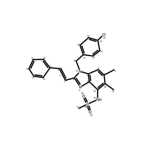 Cc1cc2c(nc(/C=C/c3ccccc3)n2Cc2ccc(Cl)cc2)c(NS(C)(=O)=O)c1C